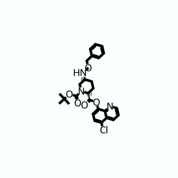 CC(C)(C)OC(=O)N1C[C@H](NOCc2ccccc2)CC[C@H]1C(=O)Oc1ccc(Cl)c2cccnc12